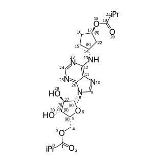 CC(C)C(=O)OC[C@H]1O[C@@H](n2cnc3c(N[C@@H]4CC[C@@H](OC(=O)C(C)C)C4)ncnc32)[C@H](O)[C@H]1O